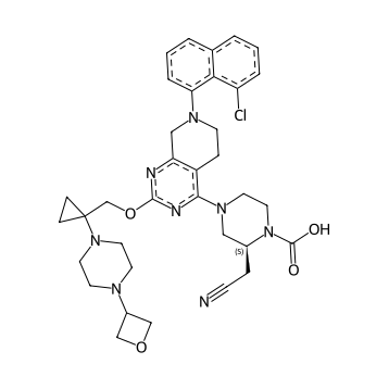 N#CC[C@H]1CN(c2nc(OCC3(N4CCN(C5COC5)CC4)CC3)nc3c2CCN(c2cccc4cccc(Cl)c24)C3)CCN1C(=O)O